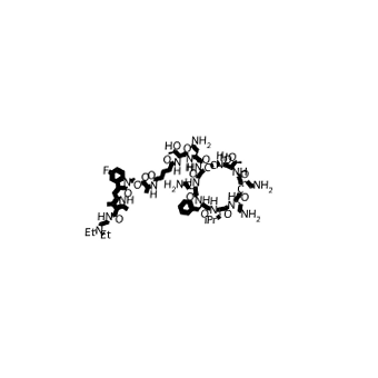 CCN(CC)CCNC(=O)c1c(C)[nH]c(/C=C2\C(=O)N(COC(=O)C(C)NC(=O)CCCC(=O)N[C@H](C(=O)N[C@@H](CCN)C(=O)N[C@@H]3CCNC(=O)[C@H]([C@H](C)O)NC(=O)[C@H](CCN)CC(=O)[C@H](CCN)NC(=O)[C@H](CC(C)C)NC(=O)[C@@H](Cc4ccccc4)NC(=O)[C@H](CCN)NC3=O)[C@@H](C)O)c3ccc(F)cc32)c1C